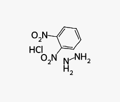 Cl.NN.O=[N+]([O-])c1ccccc1[N+](=O)[O-]